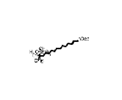 CCCCCCCCCCCC=CCCCCCCCCCCC(CC)(P(=O)=O)[N+](C)(C)C